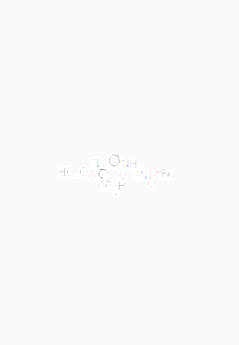 CC(C)(C)OC(=O)N1CCC(C(=O)Nc2cccc(-c3sc(C(=O)O)c(OCC(=O)O)c3Cl)c2)CC1